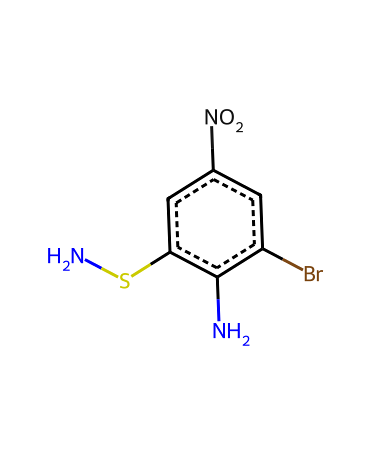 NSc1cc([N+](=O)[O-])cc(Br)c1N